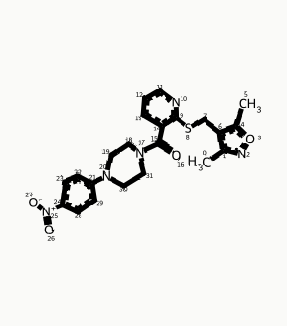 Cc1noc(C)c1CSc1ncccc1C(=O)N1CCN(c2ccc([N+](=O)[O-])cc2)CC1